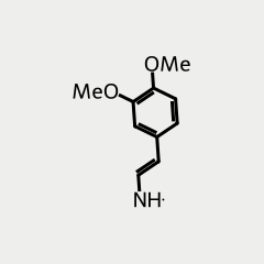 COc1ccc(C=C[NH])cc1OC